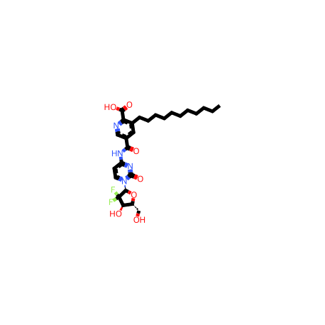 CCCCCCCCCCCc1cc(C(=O)Nc2ccn([C@@H]3O[C@H](CO)[C@@H](O)C3(F)F)c(=O)n2)cnc1C(=O)O